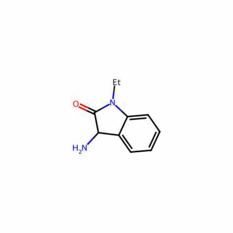 CCN1C(=O)C(N)c2ccccc21